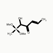 CC=CC(=O)C(O)[Si](C)(OC)OC